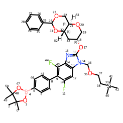 CC1(C)OB(c2ccc(-c3c(F)cc4c(nc(O[C@H]5CO[C@@H]6COC(c7ccccc7)O[C@H]6C5)n4COCC[Si](C)(C)C)c3F)cc2)OC1(C)C